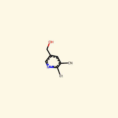 CCc1ncc(CO)cc1C#N